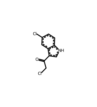 O=C(CCl)c1c[nH]c2ccc(Cl)cc12